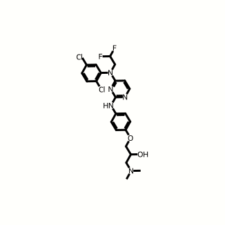 CN(C)CC(O)COc1ccc(Nc2nccc(N(CC(F)F)c3cc(Cl)ccc3Cl)n2)cc1